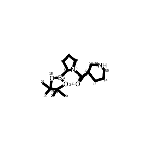 CC1(C)OB(C2CCCN2C(=O)C2CCCNC2)OC1(C)C